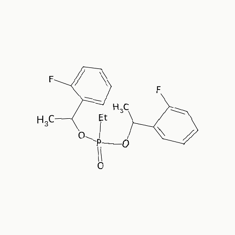 CCP(=O)(OC(C)c1ccccc1F)OC(C)c1ccccc1F